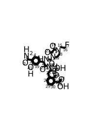 NC(=O)c1ccc(C(NC(=O)N2CCN(CCF)C(=O)C2=O)C(=O)N[C@H]2Cc3cccc(C(=O)O)c3OB2O)cc1O